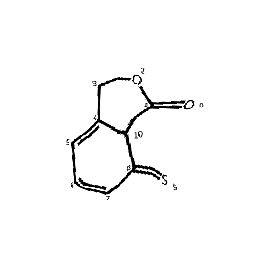 O=C1OCC2=CC=CC(=S)C12